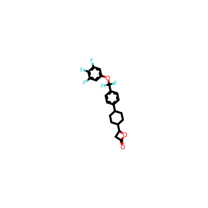 O=C1CC(C2CCC(c3ccc(C(F)(F)Oc4cc(F)c(F)c(F)c4)cc3)CC2)O1